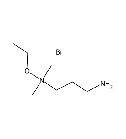 CCO[N+](C)(C)CCCN.[Br-]